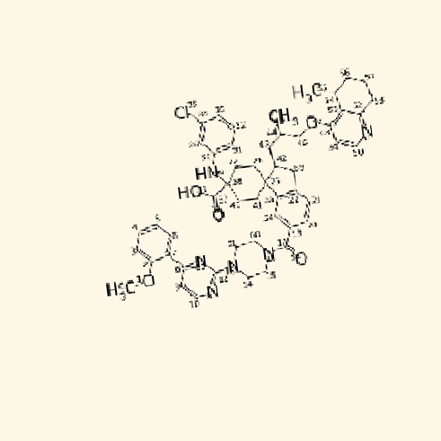 COc1ccccc1-c1ccnc(N2CCN(C(=O)c3ccc4c(c3)C3(CCC(Nc5cccc(Cl)c5)(C(=O)O)CC3)[C@@H](C[C@@H](C)COc3ccnc5c3[C@H](C)CCC5)C4)CC2)n1